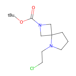 CC(C)(C)OC(=O)N1CC2(CCCN2CCCl)C1